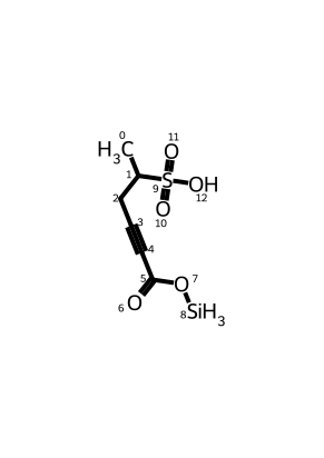 CC(CC#CC(=O)O[SiH3])S(=O)(=O)O